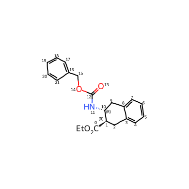 CCOC(=O)[C@@H]1Cc2ccccc2C[C@H]1NC(=O)OCc1ccccc1